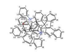 c1ccc(N(c2ccccc2)c2cccc3c2-c2ccccc2C32c3ccccc3-c3c2c(N(c2ccccc2)c2cccc4c2-c2ccccc2C4(c2ccccc2)c2ccccc2)cc2ccccc32)cc1